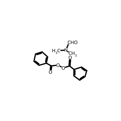 CN(C)C=O.O=C(OOC(=O)c1ccccc1)c1ccccc1